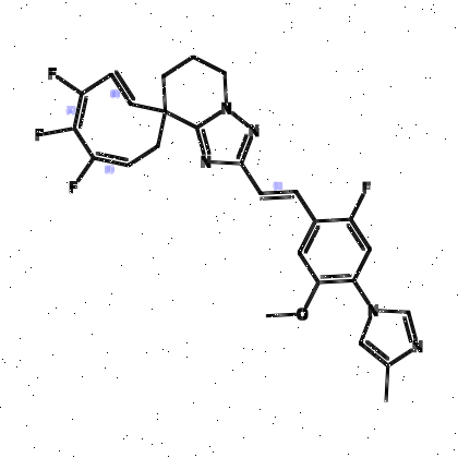 COc1cc(/C=C/c2nc3n(n2)CCCC32/C=C/C(F)=C(F)\C(F)=C/C2)c(F)cc1-n1cnc(C)c1